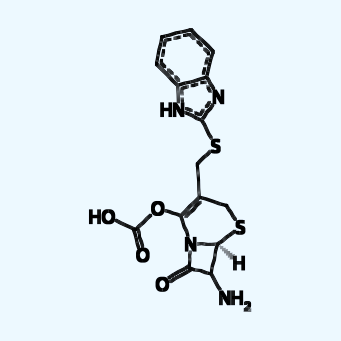 NC1C(=O)N2C(OC(=O)O)=C(CSc3nc4ccccc4[nH]3)CS[C@@H]12